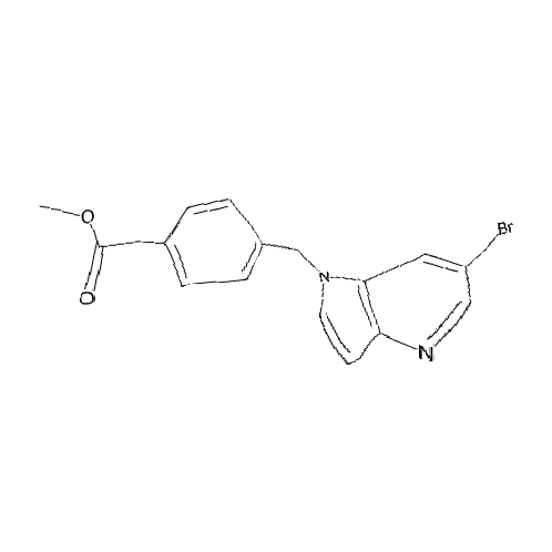 COC(=O)c1ccc(Cn2ccc3ncc(Br)cc32)cc1